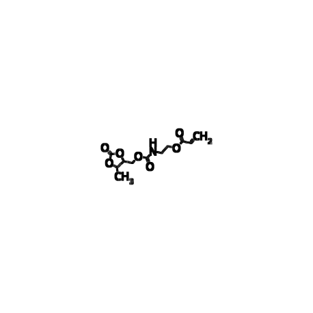 C=CC(=O)OCCNC(=O)OCC1OC(=O)OC1C